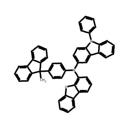 CC1(c2ccc(N(c3ccc4c(c3)c3ccccc3n4-c3ccccc3)c3cccc4c3oc3ccccc34)cc2)c2ccccc2-c2ccccc21